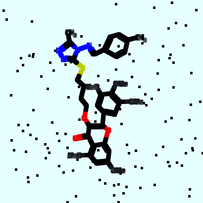 COc1cc(OC)c2c(=O)c(OCCCCSc3nnc(C)n3N=Cc3ccc(C)cc3)c(-c3cc(OC)c(OC)c(OC)c3)oc2c1